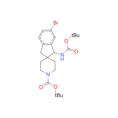 CC(C)(C)OC(=O)NC1c2cc(Br)ccc2CC12CCN(C(=O)OC(C)(C)C)CC2